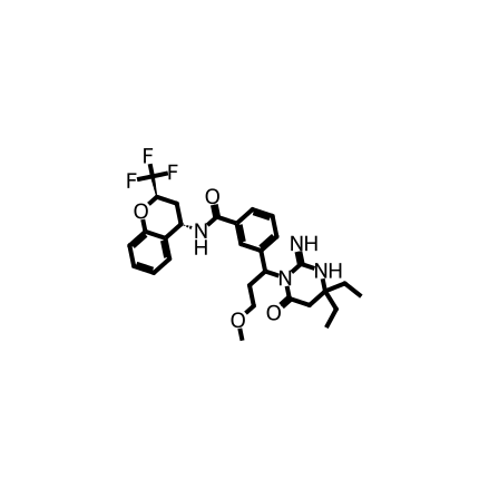 CCC1(CC)CC(=O)N(C(CCOC)c2cccc(C(=O)N[C@H]3C[C@H](C(F)(F)F)Oc4ccccc43)c2)C(=N)N1